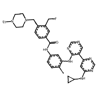 CCN1CCN(Cc2ccc(C(=O)Nc3ccc(C)c(Nc4ncncc4-c4cc(NC5CC5)ncn4)c3)cc2CF)CC1